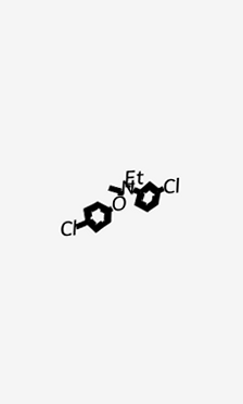 CCN(c1cccc(Cl)c1)C(C)Oc1ccc(Cl)cc1